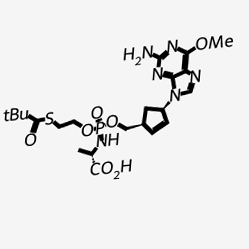 COc1nc(N)nc2c1ncn2[C@H]1C=C[C@@H](COP(=O)(N[C@@H](C)C(=O)O)OCCSC(=O)C(C)(C)C)C1